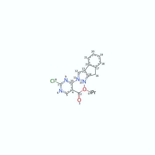 CC(C)OC(=O)c1cnc(Cl)nc1-n1cc2c(n1)Cc1ccccc1-2